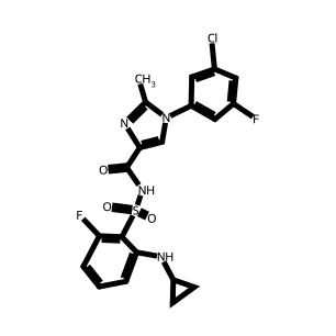 Cc1nc(C(=O)NS(=O)(=O)c2c(F)cccc2NC2CC2)cn1-c1cc(F)cc(Cl)c1